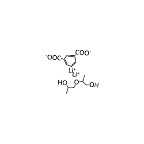 CC(O)COC(C)CO.O=C([O-])c1cccc(C(=O)[O-])c1.[Li+].[Li+]